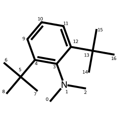 CN(C)c1c(C(C)(C)C)cccc1C(C)(C)C